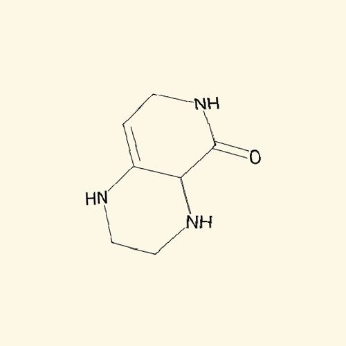 O=C1NCC=C2NCCNC12